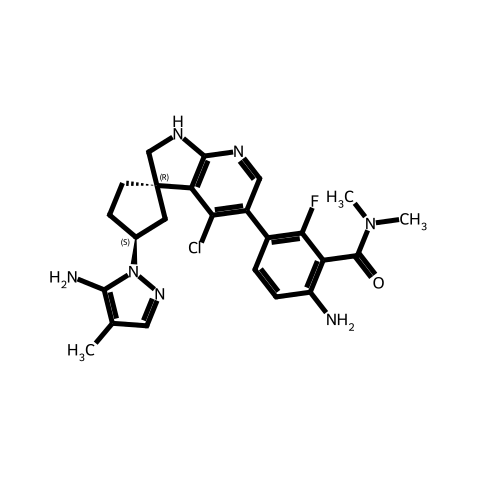 Cc1cnn([C@H]2CC[C@@]3(CNc4ncc(-c5ccc(N)c(C(=O)N(C)C)c5F)c(Cl)c43)C2)c1N